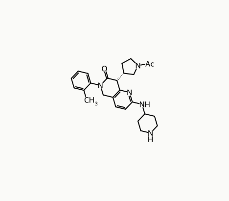 CC(=O)N1CC[C@@H](C2C(=O)N(c3ccccc3C)Cc3ccc(NC4CCNCC4)nc32)C1